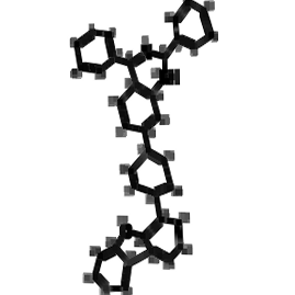 c1ccc(C2=NC(c3ccccc3)Nc3cc(-c4ccc(-c5cccc6c5oc5ccccc56)cc4)ccc32)cc1